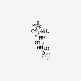 CC(C)(C)OC(=O)NCC(=O)NCC(N)C(=O)C(F)(F)F